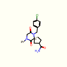 CC(C)N1CC(=O)N(Cc2ccc(Cl)cc2)[C@]2(CCC(C(N)=O)C2)C1=O